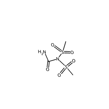 CS(=O)(=O)N(C(N)=O)S(C)(=O)=O